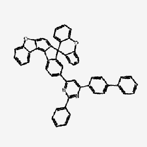 c1ccc(-c2ccc(-c3cc(-c4ccc5c(c4)C4(c6ccccc6Oc6ccccc64)c4ccc6oc7ccccc7c6c4-5)nc(-c4ccccc4)n3)cc2)cc1